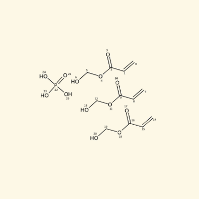 C=CC(=O)OCO.C=CC(=O)OCO.C=CC(=O)OCO.O=P(O)(O)O